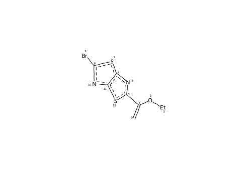 C=C(OCC)c1nc2sc(Br)nc2s1